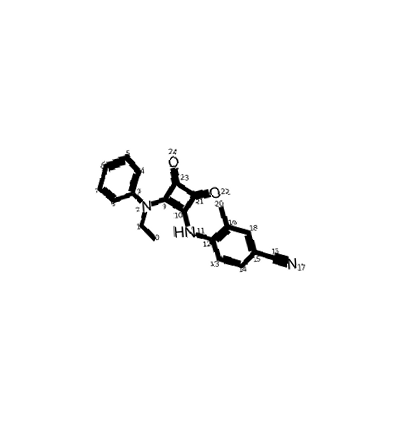 CCN(c1ccccc1)c1c(Nc2ccc(C#N)cc2C)c(=O)c1=O